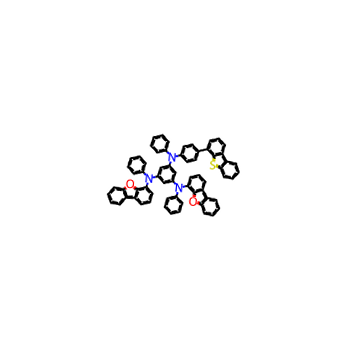 c1ccc(N(c2ccc(-c3cccc4c3sc3ccccc34)cc2)c2cc(N(c3ccccc3)c3cccc4c3oc3ccccc34)cc(N(c3ccccc3)c3cccc4c3oc3ccccc34)c2)cc1